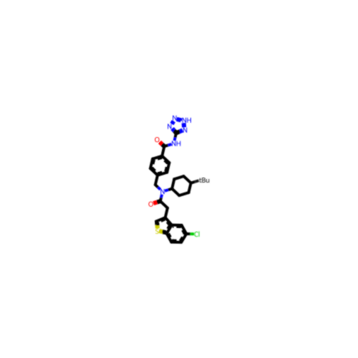 CC(C)(C)C1CCC(N(Cc2ccc(C(=O)Nc3nn[nH]n3)cc2)C(=O)Cc2csc3ccc(Cl)cc23)CC1